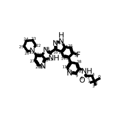 CC(C)(C)CC(=O)Nc1cncc(-c2cc3c(-c4nc5c(N6CCCCC6)ccnc5[nH]4)n[nH]c3cc2F)c1